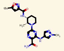 C[C@@H]1[C@H](NC(=O)c2cc(C(C)(C)C)on2)CCCN1c1cnc(C(N)=O)c(Nc2cnn(C)c2)n1